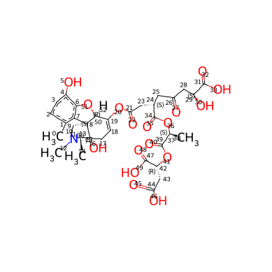 Cc1ccc(O)c2c1[C@]13CCN(C)[C@H](C)[C@]1(O)CC=C(OC(=O)C[C@H](CC(=O)C[C@H](O)C(=O)O)C(=O)O[C@@H](C)C(=O)O[C@H](CC(=O)O)C(=O)O)[C@@H]3O2